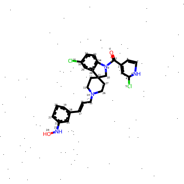 O=C(C1=CC(Cl)NC=C1)N1CC2(CCN(C/C=C/c3cccc(NO)c3)CC2)c2cc(Cl)ccc21